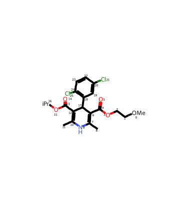 COCCOC(=O)C1=C(C)NC(C)=C(C(=O)OC(C)C)C1c1cc(Cl)ccc1Cl